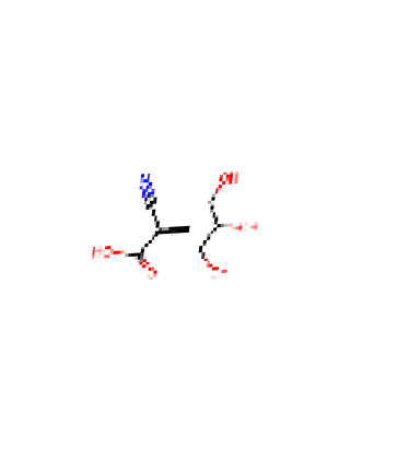 C=C(C#N)C(=O)O.OCC(O)CO